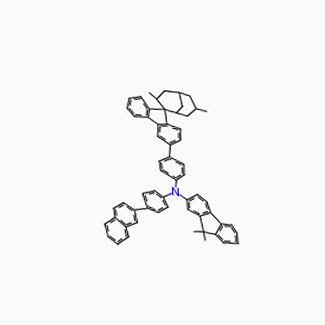 CC1CC2CC(C)C3(c4ccccc4-c4cc(-c5ccc(N(c6ccc(-c7ccc8ccccc8c7)cc6)c6ccc7c(c6)C(C)(C)c6ccccc6-7)cc5)ccc43)C(C1)C2